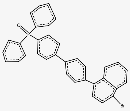 O=P(c1ccccc1)(c1ccccc1)c1ccc(-c2ccc(-c3ccc(Br)c4ccccc34)cc2)cc1